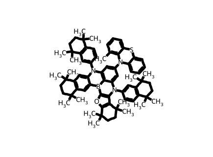 Cc1cccc2c1N(c1cc3c4c(c1)N(c1ccc5c(c1)C(C)(C)CCC5(C)C)c1c(oc5c1C(C)(C)CCC5(C)C)B4c1cc4c(cc1N3c1ccc3c(c1)C(C)(C)CCC3(C)C)C(C)(C)CCC4(C)C)c1ccccc1S2